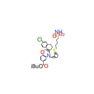 CC(C)COC(=O)c1ccc2c(c1)N(C[C@@H]1CC[C@H]1SCCCCCS(N)(=O)=O)C[C@@]1(CCCc3cc(Cl)ccc31)CO2